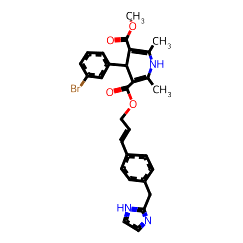 COC(=O)C1=C(C)NC(C)=C(C(=O)OCC=Cc2ccc(Cc3ncc[nH]3)cc2)C1c1cccc(Br)c1